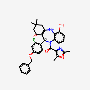 Cc1nc(C(=O)N2c3cccc(O)c3NC3=C(C(=O)CC(C)(C)C3)[C@@H]2c2ccc(OCc3ccccc3)cc2F)c(C)o1